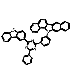 c1ccc(-c2nc(-c3cccc(-n4c5cc6ccccc6cc5c5ccc6ccccc6c54)c3)nc(-c3ccc4sc5ccccc5c4c3)n2)cc1